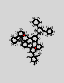 Cc1cc(C)c(-c2ccc3c(c2)c2ccc(-n4c5ccccc5c5ccccc54)cc2n3-c2c(-c3ccccc3)cc(-c3nc(-c4ccccc4)cc(C4C=CC=CC4)n3)cc2-c2ccccc2)c(C)c1